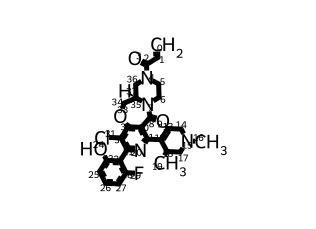 C=CC(=O)N1CCN2C(=O)c3c(C4=CCN(C)CC4C)nc(-c4c(O)cccc4F)c(Cl)c3OC[C@H]2C1